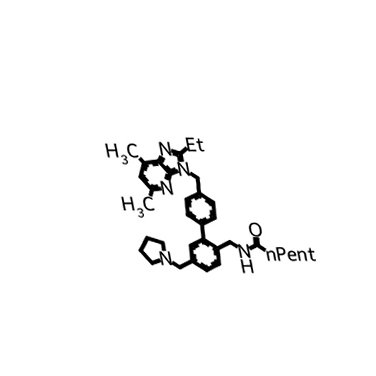 CCCCCC(=O)NCc1ccc(CN2CCCC2)cc1-c1ccc(Cn2c(CC)nc3c(C)cc(C)nc32)cc1